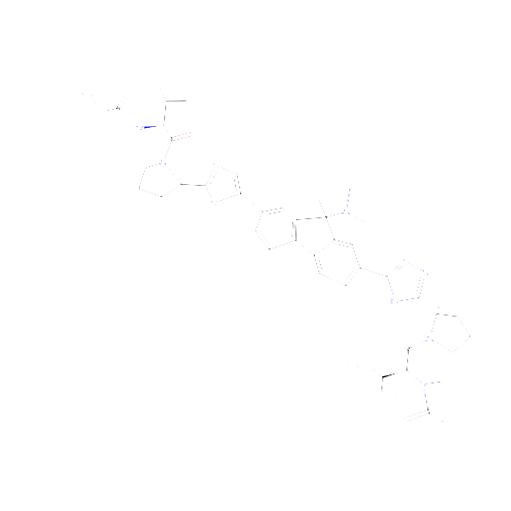 COC(=O)N[C@H](C(=O)N1CCCC1c1ncc(-c2ccc3c(c2)C(C)(N(C)C)c2cc(-c4cnc([C@@H]5CCCN5C(=O)[C@H](C(C)C)N(C)C(=O)O)[nH]4)ccc2-3)[nH]1)C(C)C